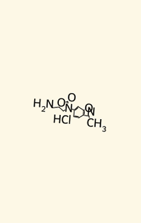 Cc1noc2cc(N3CC(CN)OC3=O)ccc12.Cl